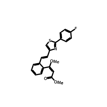 COC(=O)/C=C(/OC)c1ccccc1/C=C/c1csc(-c2ccc(F)cc2)n1